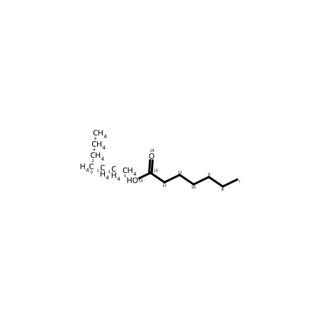 C.C.C.C.C.C.C.CCCCCCC(=O)O